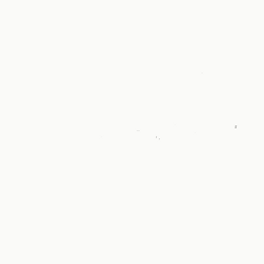 Cc1cc(O)c(F)c(NC(=O)c2cc(-c3cccc(F)c3)ccc2F)c1F